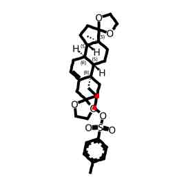 Cc1ccc(S(=O)(=O)OCCC[C@]23CCC4(CC2=CC[C@@H]2[C@@H]3CC[C@@]3(C)[C@H]2CCC32OCCO2)OCCO4)cc1